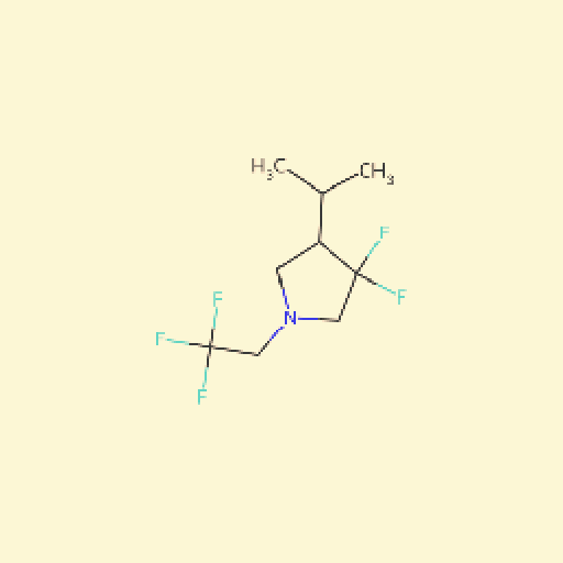 CC(C)C1CN(CC(F)(F)F)CC1(F)F